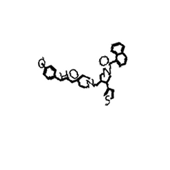 COc1ccc(CCCC2(O)CCN(CC3CN(C(=O)c4cccc5ccccc45)CC3c3ccsc3)CC2)cc1